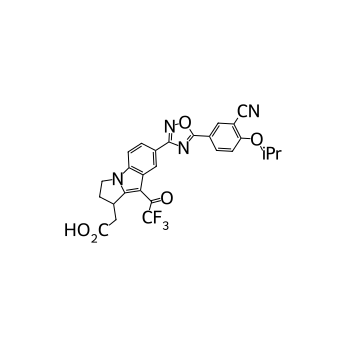 CC(C)Oc1ccc(-c2nc(-c3ccc4c(c3)c(C(=O)C(F)(F)F)c3n4CCC3CC(=O)O)no2)cc1C#N